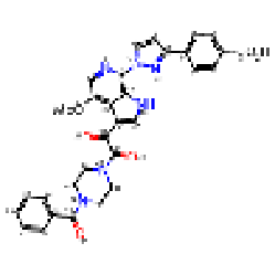 COc1cnc(-n2ccc(-c3ccc(C(=O)O)cc3)n2)c2[nH]cc(C(=O)C(=O)N3CCN(C(=O)c4ccccc4)CC3)c12